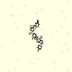 O=c1c2cnn(-c3ccc(F)cc3)c2ncn1CC1(O)CCN(C(=O)[C@H]2CC[C@@H](Nc3cccc(F)n3)CC2)CC1